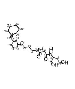 O=C(CC(=O)NC(CO)CCO)NCCCOc1cccc(CN2CCCCC2)c1